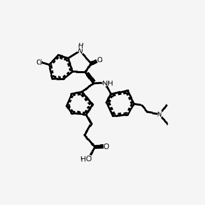 CN(C)CCc1cccc(N/C(=C2\C(=O)Nc3cc(Cl)ccc32)c2cccc(CCC(=O)O)c2)c1